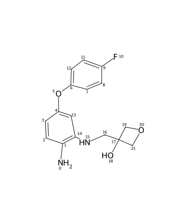 Nc1ccc(Oc2ccc(F)cc2)cc1NCC1(O)COC1